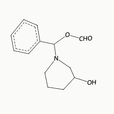 O=COC(c1ccccc1)N1CCCC(O)C1